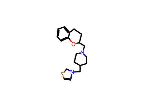 C1=CN(CC2CCN(CC3CCc4ccccc4O3)CC2)CS1